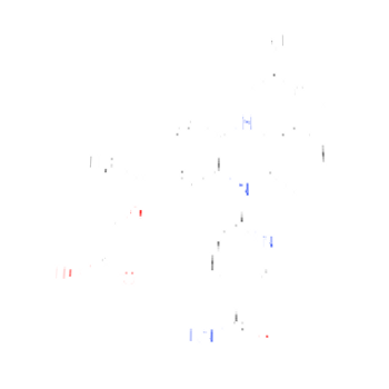 CC(C)CN(c1ccc(C(C)OCC(=O)O)cc1Nc1ccc(C(N)=O)cn1)C1CCCCC1